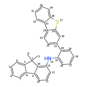 CC1(C)c2ccccc2-c2cccc(Nc3ccccc3-c3ccc4c(c3)sc3ccccc34)c21